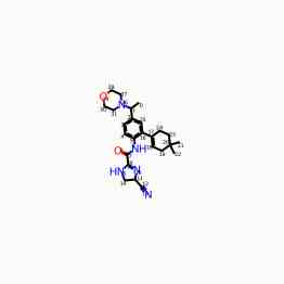 CC(c1ccc(NC(=O)C2=NC(C#N)CN2)c(C2=CCC(C)(C)CC2)c1)N1CCOCC1